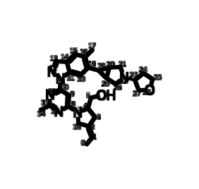 C/C=C1/CC(CO)N(c2cc(-n3ncc4cc(C)c(C5C6CN([C@H]7CCOC7)CC65)cc43)nc(C)n2)C1